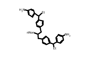 CCCCCCCCCC(Cc1ccc(C(CC)c2ccc(N)cc2)cc1)Cc1ccc(C(CC)c2ccc(N)cc2)cc1